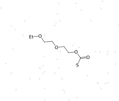 CCOCCOCCOC(=O)[S]